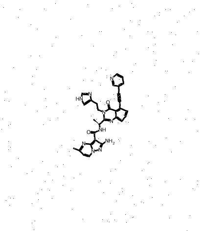 Cc1ccn2nc(N)c(C(=O)N[C@@H](C)c3nc4cccc(C#Cc5cccnc5)c4c(=O)n3CCc3c[nH]cn3)c2n1